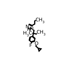 CCCc1cnnn1C[C@](C)(CC)c1ccc(F)c(OCC2CC2)c1